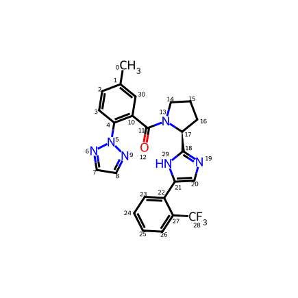 Cc1ccc(-n2nccn2)c(C(=O)N2CCC[C@H]2c2ncc(-c3ccccc3C(F)(F)F)[nH]2)c1